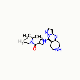 CCN(C(=O)C1CN(c2c3c(nc4ccnn24)CCNCC3)C1)C(C)C